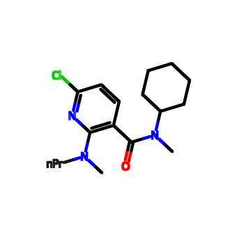 CCCN(C)c1nc(Cl)ccc1C(=O)N(C)C1CCCCC1